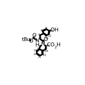 CC(C)(C)OC(=O)NC(Cc1ccc(O)cc1)C(=O)N1Cc2ccccc2C[C@H]1C(=O)O